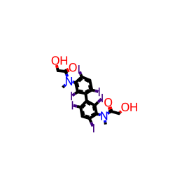 CN(C(=O)CO)c1c(I)cc(I)c(-c2c(I)cc(I)c(N(C)C(=O)CO)c2I)c1I